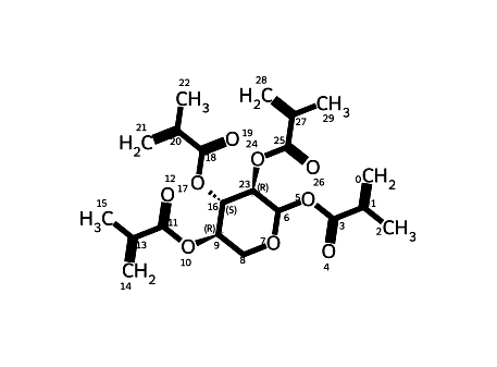 C=C(C)C(=O)OC1OC[C@@H](OC(=O)C(=C)C)[C@H](OC(=O)C(=C)C)[C@H]1OC(=O)C(=C)C